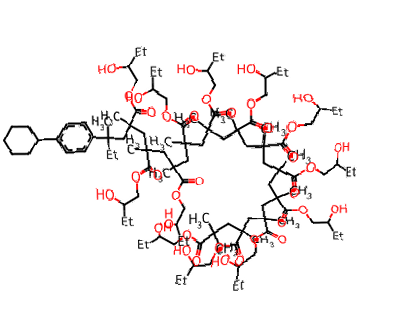 CCC(O)COC(=O)C(C)(C)CC(C)(CC(C)(CC(C)(CC(C)(CC(C)(CC(C)(CC(C)(CC(C)(CC(C)(CC(C)(CC(C)(CC(C)(CC)c1ccc(C2CCCCC2)cc1)C(=O)OCC(O)CC)C(=O)OCC(O)CC)C(=O)OCC(O)CC)C(=O)OCC(O)CC)C(=O)OCC(O)CC)C(=O)OCC(O)CC)C(=O)OCC(O)CC)C(=O)OCC(O)CC)C(=O)OCC(O)CC)C(=O)OCC(O)CC)C(=O)OCC(O)CC